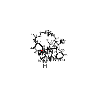 CC(C)CCC(C)[N]c1ccc(NC2N=C3N(C(C)CCC(C)C)c4ccc(cc4)NC4N2Nc2ccc(cc2)N(C(C)CCC(C)C)N34)cc1